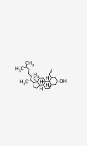 CC(C)CCC[C@@H](C)[C@H]1CC[C@H]2[C@@H]3CC=C4C[C@@H](O)CC(CI)[C@@H]4[C@H]3CC[C@]12C